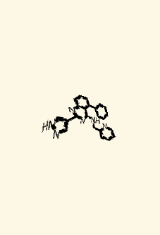 c1ccc(-c2cccc3nc(-c4cn[nH]c4)nc(NCc4ccccn4)c23)cc1